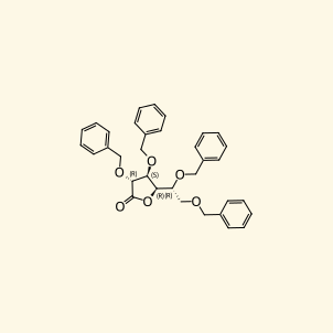 O=C1O[C@H]([C@@H](COCc2ccccc2)OCc2ccccc2)[C@H](OCc2ccccc2)[C@H]1OCc1ccccc1